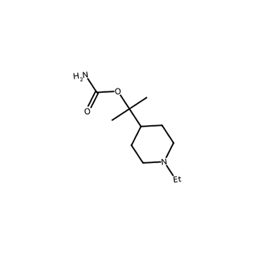 CCN1CCC(C(C)(C)OC(N)=O)CC1